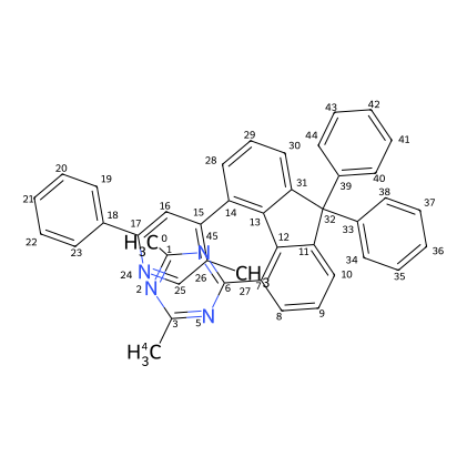 Cc1nc(C)nc(-c2cccc3c2-c2c(-c4cc(-c5ccccc5)ncc4C)cccc2C3(c2ccccc2)c2ccccc2)n1